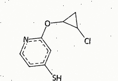 Sc1ccnc(OC2CC2Cl)c1